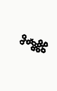 CC1(C)C2=CC3c4c(cc(P(c5ccccc5)c5ccccc5)c5ccccc45)C(c4ccccc4)(c4ccccc4)C3C=C2c2ccc(P(C3=CCCC=C3)C3C=CC=CC3)cc21